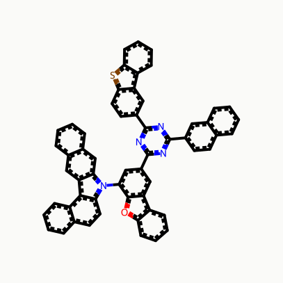 c1ccc2cc(-c3nc(-c4ccc5sc6ccccc6c5c4)nc(-c4cc(-n5c6cc7ccccc7cc6c6c7ccccc7ccc65)c5oc6ccccc6c5c4)n3)ccc2c1